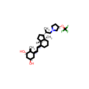 C=C1/C(=C\C=C2/CCC[C@]3(C)[C@@H](C(C)CN4CC[C@H](OC(F)(F)F)C4)CC[C@@H]23)C[C@@H](O)C[C@@H]1O